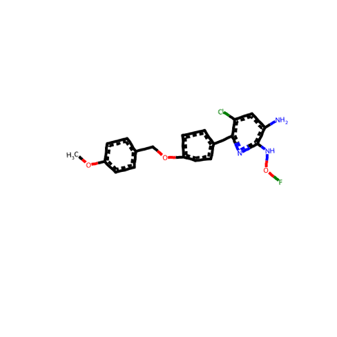 COc1ccc(COc2ccc(-c3nc(NOF)c(N)cc3Cl)cc2)cc1